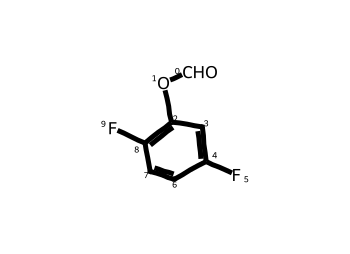 O=COc1cc(F)ccc1F